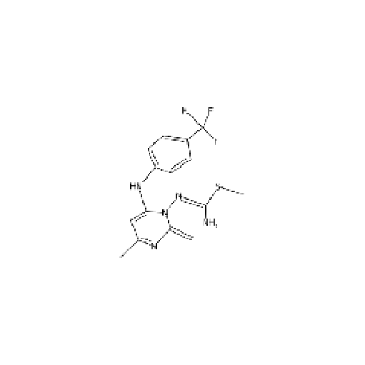 C=C1N=C(C)C=C(Nc2ccc(C(F)(F)F)cc2)N1/N=C(\N)SC